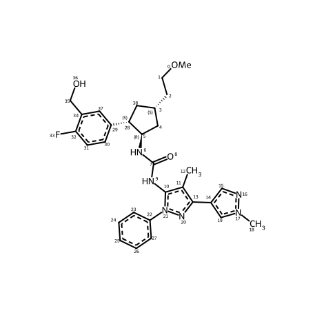 COCC[C@@H]1C[C@@H](NC(=O)Nc2c(C)c(-c3cnn(C)c3)nn2-c2ccccc2)[C@H](c2ccc(F)c(CO)c2)C1